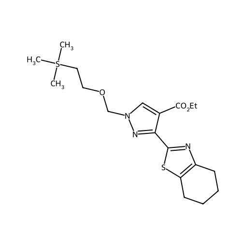 CCOC(=O)c1cn(COCCS(C)(C)C)nc1-c1nc2c(s1)CCCC2